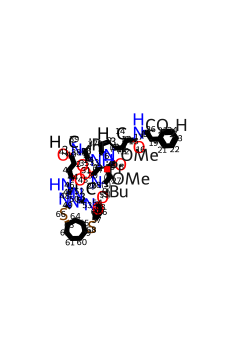 CC[C@H](C)[C@@H]([C@@H](CC(=O)N1CCC[C@H]1[C@H](OC)[C@@H](C)C(=O)N[C@@H](Cc1ccccc1)C(=O)O)OC)N(C)C(=O)[C@@H](NC(=O)[C@H](C(C)C)N(C)C(=O)CCC(=O)Nc1nc2nc(n1)N1C(=O)CC(SC3CCCC(CC3)S2)C1=O)C(C)C